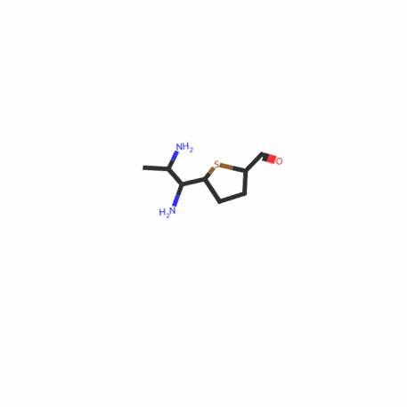 CC(N)C(N)C1CCC(C=O)S1